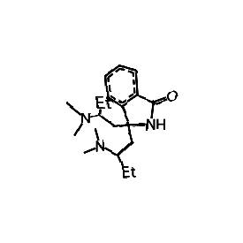 CCC(CC1(CC(CC)N(C)C)NC(=O)c2ccccc21)N(C)C